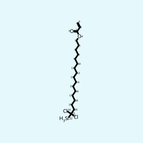 C=CC(=O)OCCCCCCCCCCCCCCCCC([SiH3])(Cl)Cl